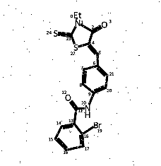 CCN1C(=O)/C(=C/c2ccc(NC(=O)c3ccccc3Br)cc2)SC1=S